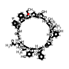 CCCC[C@H]1C(=O)N2CCC[C@@H]2C(=O)N[C@@H](CC(=O)O)C(=O)N[C@@H](C(C)C)C(=O)N(C)[C@@H](C(C)CC)C(=O)N[C@@H](Cc2ccc(O)cc2)C(=O)N2CCC[C@@H]2C(=O)N[C@@H](Cc2c[nH]c3ccccc23)C(=O)N[C@@H](Cc2ccc(O)cc2)C(=O)N[C@@H](CC(C)C)C(=O)N[C@H](C(=O)NCC(N)=O)CSCC(=O)N[C@@H](Cc2ccc(F)cc2)C(=O)N(C)[C@@H](Cc2ccccc2)C(=O)N1C